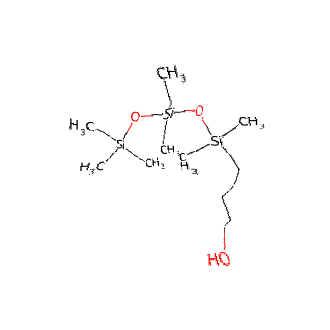 C[Si](C)(C)O[Si](C)(C)O[Si](C)(C)CCCO